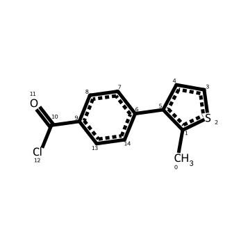 Cc1sccc1-c1ccc(C(=O)Cl)cc1